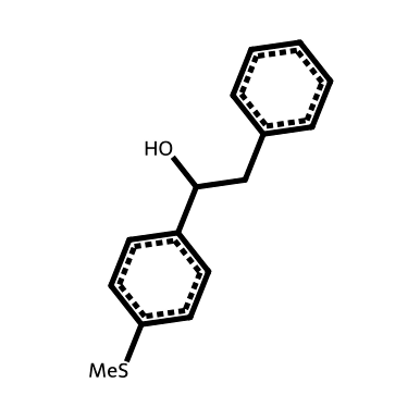 CSc1ccc(C(O)Cc2ccccc2)cc1